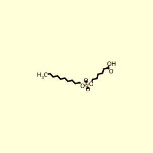 CCCCCCCCCCOS(=O)(=O)OCCCCCC(=O)O